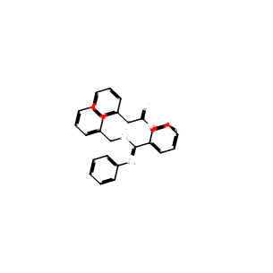 CCOC(=O)[C@@H](c1ccccc1)N(Cc1ccccc1)/C(=N\c1ccccc1)c1ccccc1